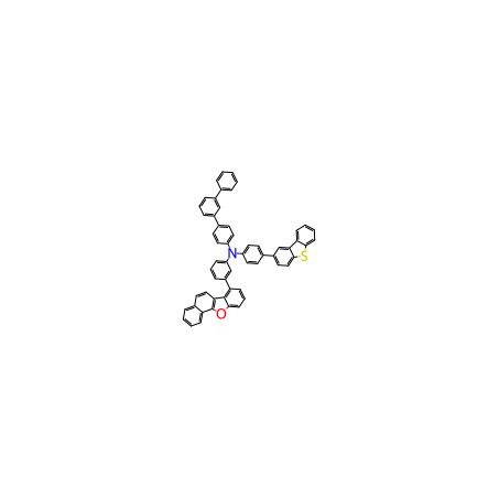 c1ccc(-c2cccc(-c3ccc(N(c4ccc(-c5ccc6sc7ccccc7c6c5)cc4)c4cccc(-c5cccc6oc7c8ccccc8ccc7c56)c4)cc3)c2)cc1